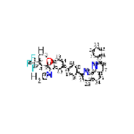 C=Nc1c(/C=C(\C)C(F)(F)F)oc2ccc(-c3ccc(-c4ccc5ccc6ccc(-c7ccccc7)nc6c5n4)cc3)cc12